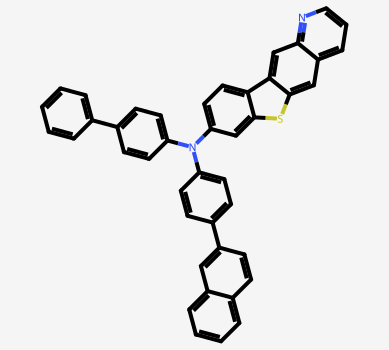 c1ccc(-c2ccc(N(c3ccc(-c4ccc5ccccc5c4)cc3)c3ccc4c(c3)sc3cc5cccnc5cc34)cc2)cc1